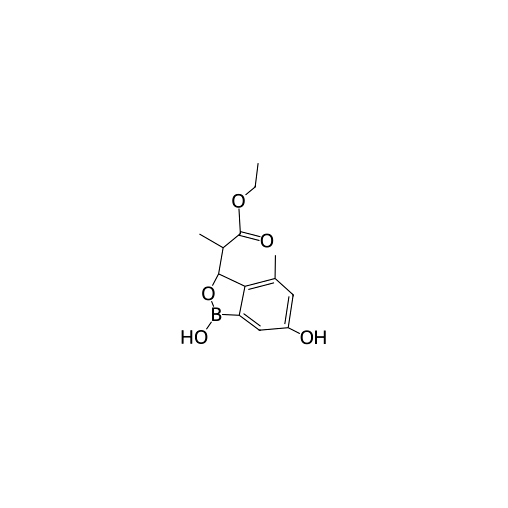 CCOC(=O)C(C)C1OB(O)c2cc(O)cc(C)c21